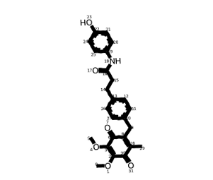 COC1=C(OC)C(=O)C(Cc2ccc(CCC(=O)Nc3ccc(O)cc3)cc2)=C(C)C1=O